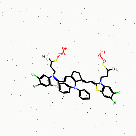 CC(CCN1/C(=C/C=C2\CCC(/C=C/c3sc4cc(Cl)c(Cl)cc4[n+]3CCC(C)SOOO)=C2N(c2ccccc2)c2ccccc2)Sc2cc(Cl)c(Cl)cc21)SOOO